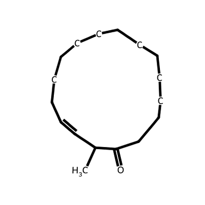 CC1C=CCCCCCCCCCCCCC1=O